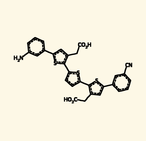 N#Cc1cccc(-c2cc(CC(=O)O)c(-c3ccc(-c4sc(-c5cccc(N)c5)cc4CC(=O)O)s3)s2)c1